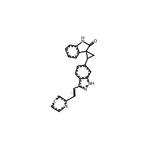 O=C1Nc2ccccc2C12CC2c1ccc2c(/C=C/c3ccccn3)n[nH]c2c1